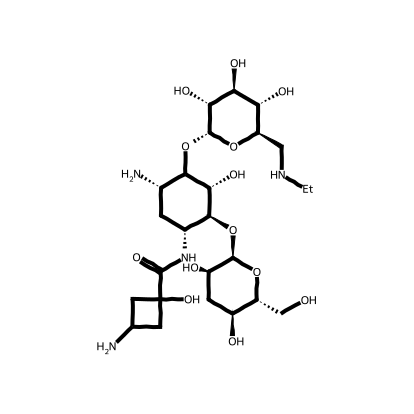 CCNC[C@H]1O[C@H](OC2[C@@H](N)C[C@@H](NC(=O)C3(O)CC(N)C3)[C@H](O[C@H]3O[C@H](CO)[C@@H](O)C[C@H]3O)[C@H]2O)[C@H](O)[C@@H](O)[C@@H]1O